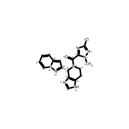 Cn1nc(Cl)nc1C(=O)N1CCc2[nH]cnc2[C@@H]1c1cc2ccccn2n1